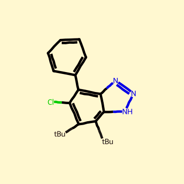 CC(C)(C)c1c(Cl)c(-c2ccccc2)c2nn[nH]c2c1C(C)(C)C